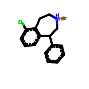 Br.Clc1cccc2c1CCNCC2c1ccccc1